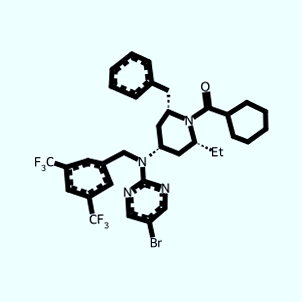 CC[C@@H]1C[C@H](N(Cc2cc(C(F)(F)F)cc(C(F)(F)F)c2)c2ncc(Br)cn2)C[C@H](Cc2ccccc2)N1C(=O)C1CCCCC1